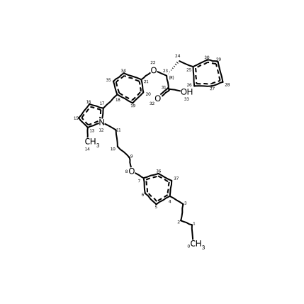 CCCCc1ccc(OCCCn2c(C)ccc2-c2ccc(O[C@H](Cc3ccccc3)C(=O)O)cc2)cc1